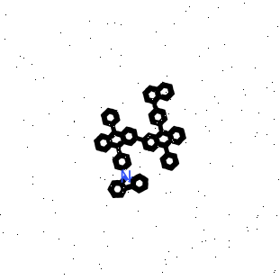 c1ccc(-c2c3ccccc3c(-c3ccc(-c4cccc5ccccc45)cc3)c3cc(-c4ccc5c(-c6ccccc6)c6ccccc6c(-c6ccc(-n7c8ccccc8c8ccccc87)cc6)c5c4)ccc23)cc1